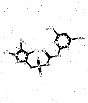 COc1cc(OC)nc(NC(=O)NS(=O)(=O)Cc2nn(C)c(C)c2C(=O)O)n1